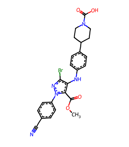 COC(=O)c1c(Nc2ccc(C3CCN(C(=O)O)CC3)cc2)c(Br)nn1-c1ccc(C#N)cc1